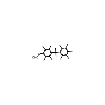 Cc1c(C)c(C)c(C(C)(C)c2c(C)c(C)c(OC=O)c(C)c2C)c(C)c1C